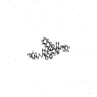 CN1CCN(CCCNC(=O)c2cn3c4c(c(NCCN5CCCC5)c(F)cc4c2=O)Oc2cc4ccccc4cc2-3)CC1